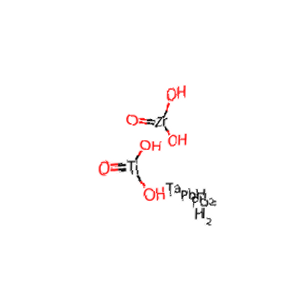 [O]=[Ti]([OH])[OH].[O]=[Zr]([OH])[OH].[PbH2].[PbH2].[Ta]